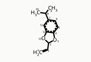 C=CC1Oc2ccc(C(C)C)cc2O1